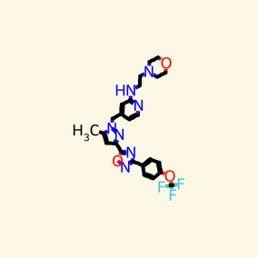 Cc1cc(-c2nc(-c3ccc(OC(F)(F)F)cc3)no2)nn1Cc1ccnc(NCCN2CCOCC2)c1